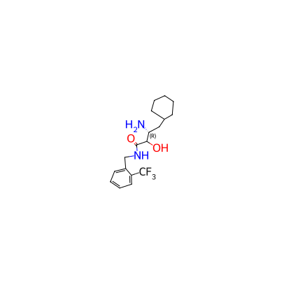 N[C@H](CC1CCCCC1)C(O)C(=O)NCc1ccccc1C(F)(F)F